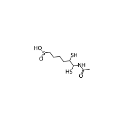 CC(=O)NC(S)C(S)CCCCS(=O)O